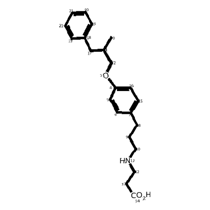 CC(COc1ccc(CCCNCCC(=O)O)cc1)Cc1ccccc1